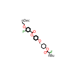 CCCCCCCCCCCCOc1ccc(C(=O)Oc2ccc(OC[C@H]3CC[C@H](OC(=O)[C@@H](F)CCCC)CC3)cc2)cc1F